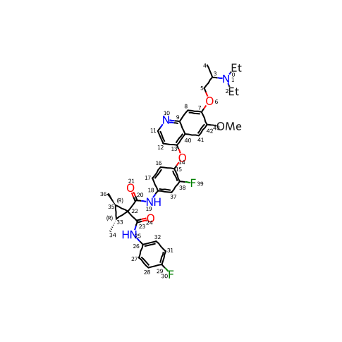 CCN(CC)C(C)COc1cc2nccc(Oc3ccc(NC(=O)C4(C(=O)Nc5ccc(F)cc5)[C@H](C)[C@H]4C)cc3F)c2cc1OC